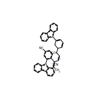 C/C=C(\C=C/C(C)C1C=CC=C(n2c3ccccc3c3ccccc32)C1)c1ccc(C#N)cc1-n1c2ccccc2c2cccc(C#N)c21